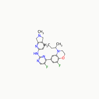 CCC(C)N1CCOc2c(F)cc(-c3nc(Nc4ccc5c(n4)CN(C)C5)ncc3F)cc21